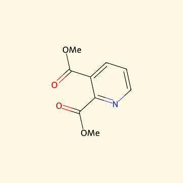 COC(=O)c1cccnc1C(=O)OC